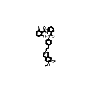 COc1cc2c(cc1OC)CN(CCc1ccc(NC(=O)c3ccccc3NC(=O)c3c(F)cccc3F)cc1)CC2